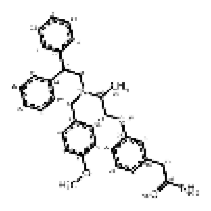 COc1ccc(CN(CC(c2ccccc2)c2ccccc2)C(C)COc2cccc(CC(N)=O)c2)cc1